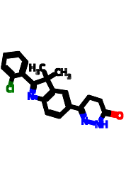 CC1(C)C(c2ccccc2Cl)=Nc2ccc(C3=NNC(=O)CC3)cc21